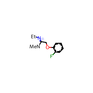 CC/N=C(/COc1ccccc1F)NC